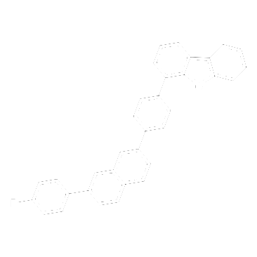 Fc1ccc(-c2ccc3ccc(-c4ccc(-c5cccc6c5oc5ccccc56)cc4)cc3c2)cc1